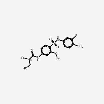 CCOc1cc(NC(=O)[C@@H](CO)C(C)C)ccc1S(=O)(=O)Nc1ccc(C)c(F)c1